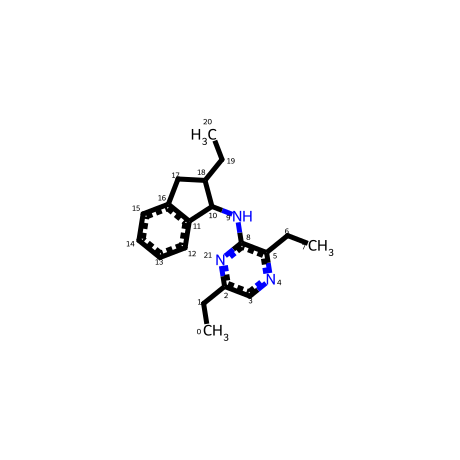 CCc1cnc(CC)c(NC2c3ccccc3CC2CC)n1